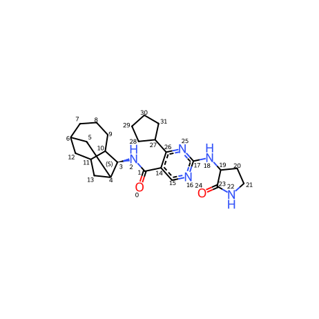 O=C(N[C@H]1C2CC3CCCC1C(C3)C2)c1cnc(NC2CCNC2=O)nc1C1CCCC1